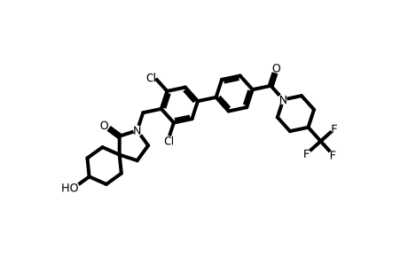 O=C(c1ccc(-c2cc(Cl)c(CN3CCC4(CCC(O)CC4)C3=O)c(Cl)c2)cc1)N1CCC(C(F)(F)F)CC1